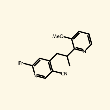 COc1cccnc1C(C)Cc1cc(C(C)C)ncc1C#N